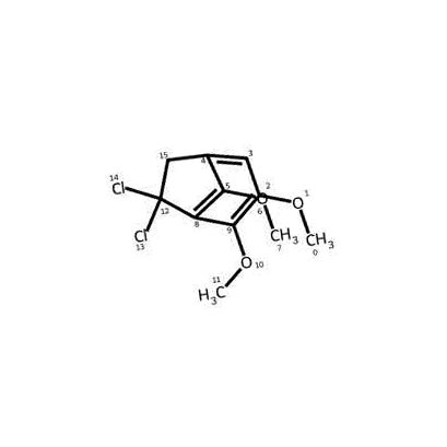 COc1cc2c(OC)c(c1OC)C(Cl)(Cl)C2